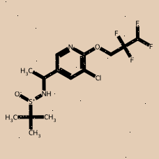 CC(N[S+]([O-])C(C)(C)C)c1cnc(OCC(F)(F)C(F)F)c(Cl)c1